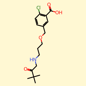 CC(C)(C)C(=O)CNCCCOCc1ccc(Cl)c(C(=O)O)c1